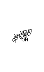 N[C@@H]1c2cccnc2CC12CCN(c1nccn3c(-c4cccc(Cl)c4Cl)nc(CO)c13)CC2